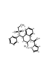 CCS(=O)(=O)N(c1ccccc1)C1CC(C)N(C(=O)c2ccco2)c2ccccc21